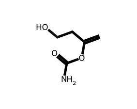 C=C(CCO)OC(N)=O